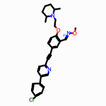 CO/N=C/c1cc(C#Cc2ccc(-c3ccc(Cl)cc3)cn2)ccc1OCCN1C(C)CCCC1C